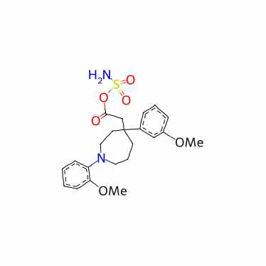 COc1cccc(C2(CC(=O)OS(N)(=O)=O)CCCN(c3ccccc3OC)CC2)c1